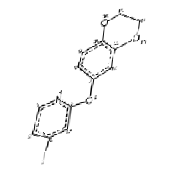 Ic1ccnc(Oc2ccc3c(c2)OCCO3)c1